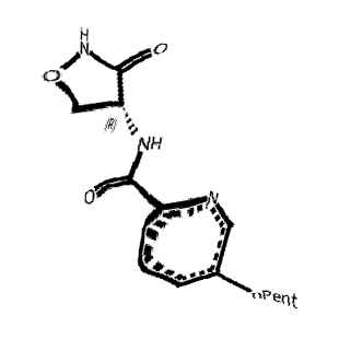 CCCCCc1ccc(C(=O)N[C@@H]2CONC2=O)nc1